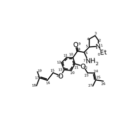 CCN1CCCC1C(N)C(=O)c1ccc(OCC=C(C)C)cc1OCC=C(C)C